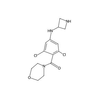 O=C(c1c(Cl)cc(NC2CNC2)cc1Cl)N1CCOCC1